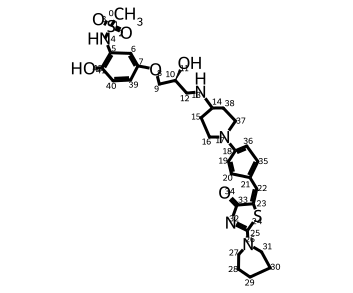 CS(=O)(=O)Nc1cc(OC[C@@H](O)CNC2CCN(c3ccc(C=C4SC(N5CCCCC5)=NC4=O)cc3)CC2)ccc1O